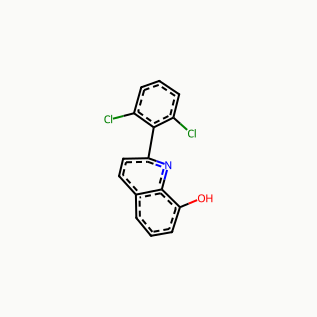 Oc1cccc2ccc(-c3c(Cl)cccc3Cl)nc12